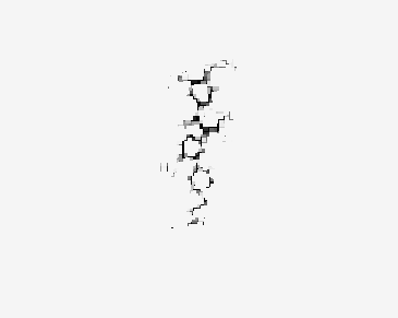 CNCCN1CCC(c2cc3c(C(C)C)c(-c4ccc(OC)c(OC)c4)[nH]c3cc2C)CC1